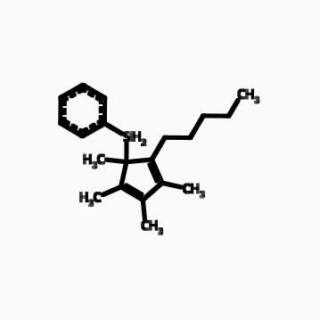 CCCCCC1=C(C)C(C)=C(C)C1(C)[SiH2]c1ccccc1